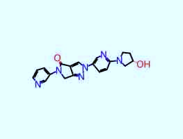 O=C1c2cn(-c3ccc(N4CC[C@H](O)C4)nc3)nc2CN1c1cccnc1